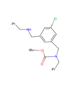 CC(C)CNCc1cc(Cl)cc(CN(CC(C)C)C(=O)OC(C)(C)C)c1